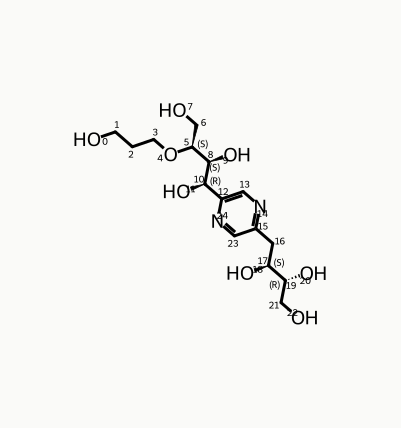 OCCCO[C@@H](CO)[C@@H](O)[C@H](O)c1cnc(C[C@H](O)[C@H](O)CO)cn1